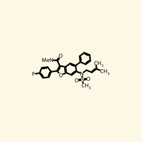 CNC(=O)c1c(-c2ccc(F)cc2)oc2cc(N(CC=C(C)C)S(C)(=O)=O)c(-c3ccccc3)cc12